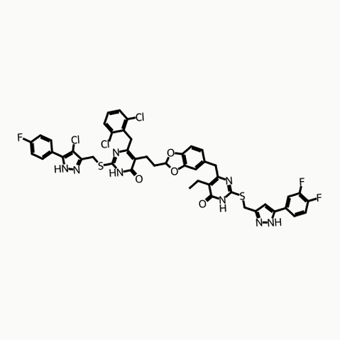 CCc1c(Cc2ccc3c(c2)OC(CCc2c(Cc4c(Cl)cccc4Cl)nc(SCc4n[nH]c(-c5ccc(F)cc5)c4Cl)[nH]c2=O)O3)nc(SCc2cc(-c3ccc(F)c(F)c3)[nH]n2)[nH]c1=O